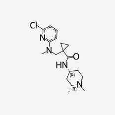 C[C@@H]1C[C@H](NC(=O)C2(CN(C)c3cccc(Cl)n3)CC2)CCN1C